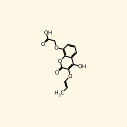 CC=COc1c(O)c2cccc(OCC(=O)O)c2oc1=O